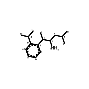 CC(C)CC(N)C(C)c1ccccc1C(C)C